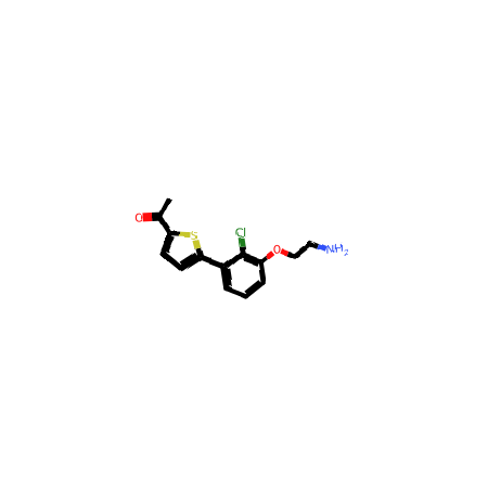 CC(=O)c1ccc(-c2cccc(OCCN)c2Cl)s1